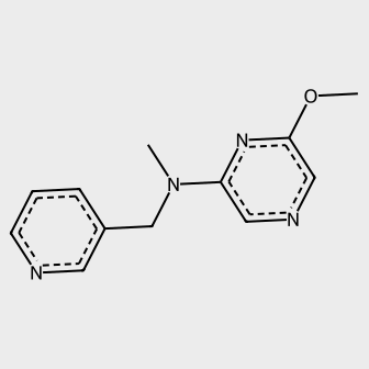 COc1cncc(N(C)Cc2cccnc2)n1